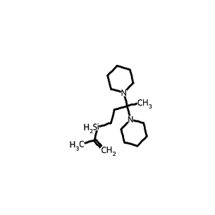 C=C(C)[SiH2]CCC(C)(N1CCCCC1)N1CCCCC1